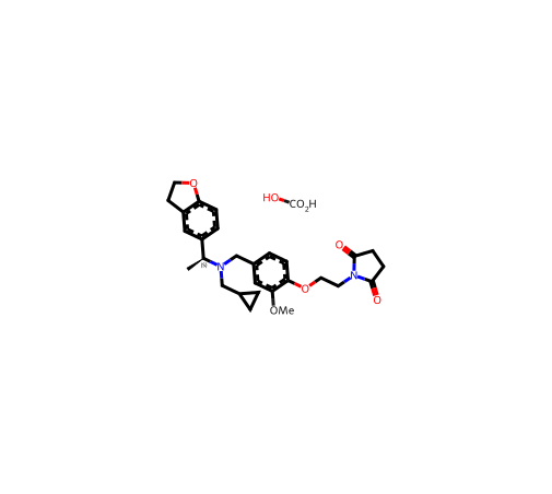 COc1cc(CN(CC2CC2)[C@@H](C)c2ccc3c(c2)CCO3)ccc1OCCN1C(=O)CCC1=O.O=C(O)O